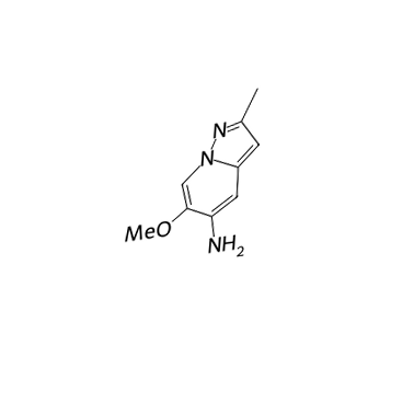 COc1cn2nc(C)cc2cc1N